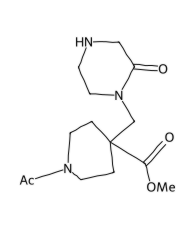 COC(=O)C1(CN2CCNCC2=O)CCN(C(C)=O)CC1